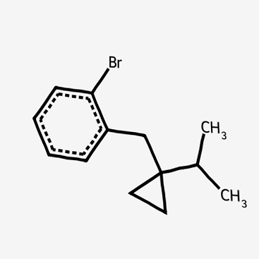 CC(C)C1(Cc2ccccc2Br)CC1